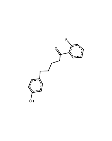 O=C(CCCCc1ccc(O)cc1)c1ccccc1F